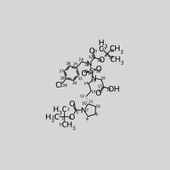 CC(C)(C)OC(=O)N1CCC[C@H]1CCCN(CC(=O)O)S(=O)(=O)N(Cc1ccc(Cl)cc1)C(=O)OC(C)(C)C